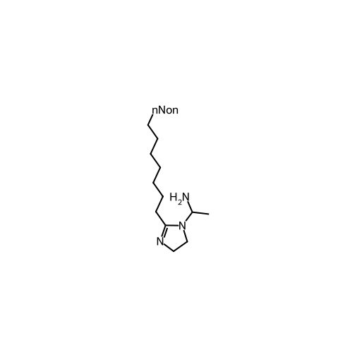 CCCCCCCCCCCCCCCCC1=NCCN1C(C)N